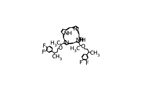 [2H]c1c(C(C)OCCC(C)c2ccc(F)c(F)c2)c2cc3nc(cc4ccc(cc5nc(cc1[nH]2)C=C5)[nH]4)C(C(C)OCCC(C)c1ccc(F)c(F)c1)=C3